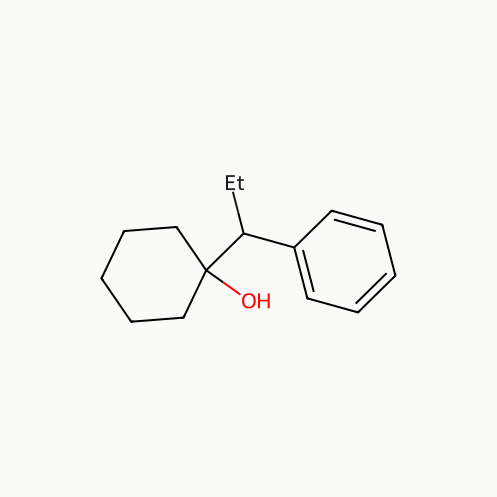 CCC(c1ccccc1)C1(O)CCCCC1